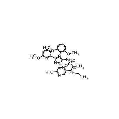 CCO[C@@H](c1cnc(C)cn1)[C@H](C)S(=O)(=O)Nc1nnc(-c2cccc(OC)n2)n1-c1c(OC)cccc1OC